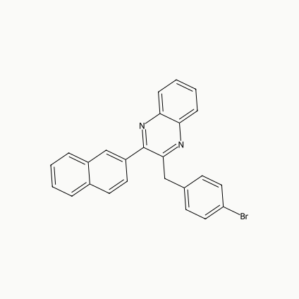 Brc1ccc(Cc2nc3ccccc3nc2-c2ccc3ccccc3c2)cc1